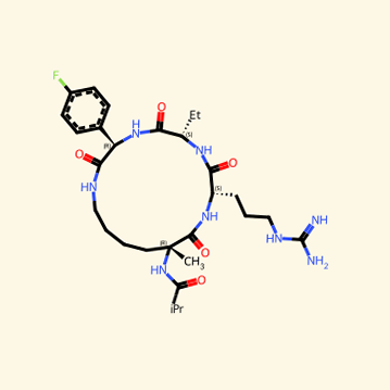 CC[C@@H]1NC(=O)[C@H](CCCNC(=N)N)NC(=O)[C@](C)(NC(=O)C(C)C)CCCCNC(=O)[C@@H](c2ccc(F)cc2)NC1=O